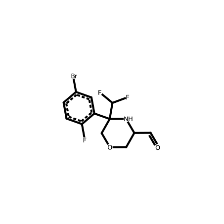 O=CC1COCC(c2cc(Br)ccc2F)(C(F)F)N1